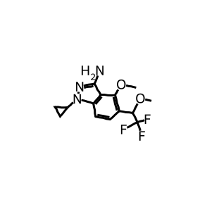 COc1c(C(OC)C(F)(F)F)ccc2c1c(N)nn2C1CC1